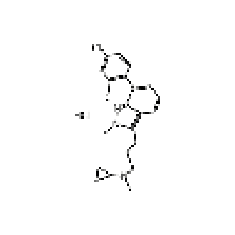 CN(CCCc1c2cccc(-c3ccc(Cl)cc3Cl)c2nn1C)C1CC1.Cl